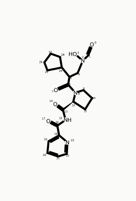 O=CN(O)CC(C(=O)N1CCC[C@H]1C(=O)NC(=O)c1ccccn1)C1CCCC1